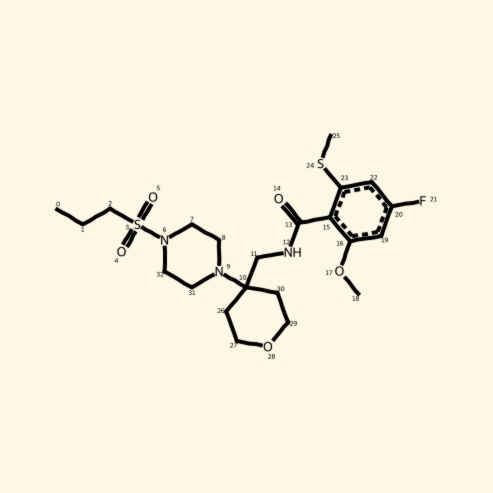 CCCS(=O)(=O)N1CCN(C2(CNC(=O)c3c(OC)cc(F)cc3SC)CCOCC2)CC1